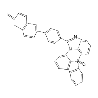 C=C/C=C\c1cc(-c2ccc(-c3nc4cccc5c4n3-c3ccccc3P5(=O)c3ccccc3)cc2)ccc1C